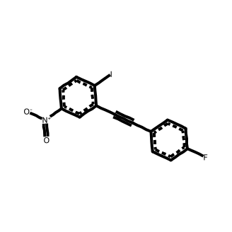 O=[N+]([O-])c1ccc(I)c(C#Cc2ccc(F)cc2)c1